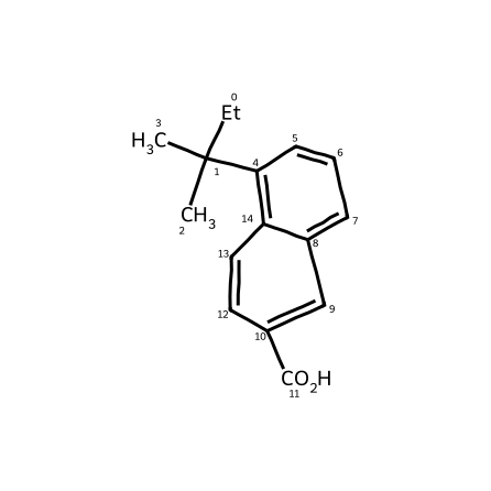 CCC(C)(C)c1cccc2cc(C(=O)O)ccc12